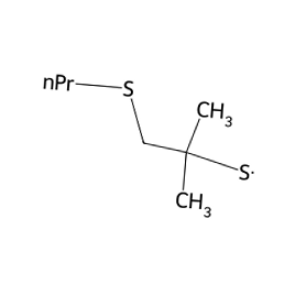 CCCSCC(C)(C)[S]